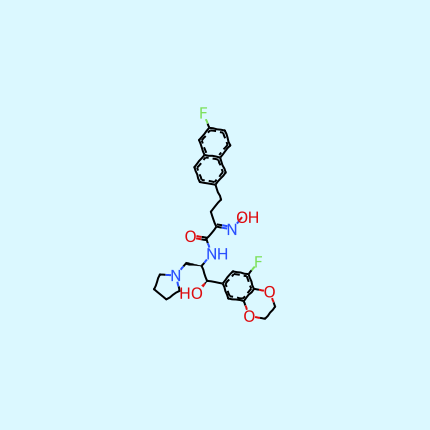 O=C(N[C@H](CN1CCCC1)[C@H](O)c1cc(F)c2c(c1)OCCO2)C(CCc1ccc2cc(F)ccc2c1)=NO